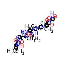 C=CC(=O)Nc1cc(Nc2nc(-c3ccnc(N4CCn5c(cc6c5CC(C)(C)C6)C4=O)c3CO)cn(C)c2=O)ccc1N1CCN(C2CCN(c3cc4c(cc3C)C(=O)N(C3CCC(=O)NC3=O)C4=O)[C@H](C)C2)C[C@@H]1C